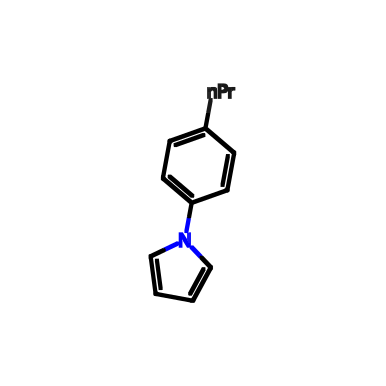 [CH2]CCc1ccc(-n2cccc2)cc1